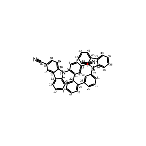 N#Cc1ccc(-n2c3ccccc3c3cc(C#N)ccc32)c(-c2ccccc2-c2cccc(-n3c4ccccc4c4ccccc43)c2)c1